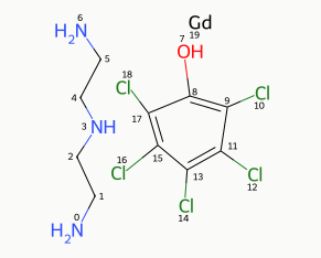 NCCNCCN.Oc1c(Cl)c(Cl)c(Cl)c(Cl)c1Cl.[Gd]